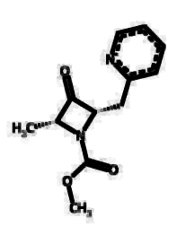 COC(=O)N1[C@H](C)C(=O)[C@@H]1Cc1ccccn1